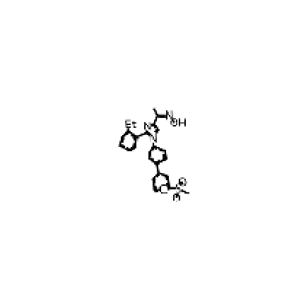 CCc1ccccc1-c1nc(/C(C)=N\O)cn1-c1ccc(-c2cccc(S(C)(=O)=O)c2)cc1